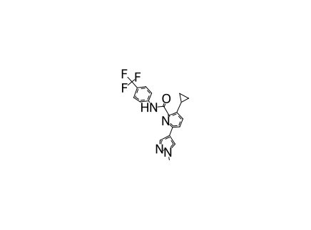 Cn1cc(-c2ccc(C3CC3)c(C(=O)Nc3ccc(C(F)(F)F)cc3)n2)cn1